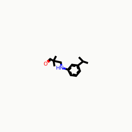 CC(C)c1cccc(NCC(C)(C)C=O)c1